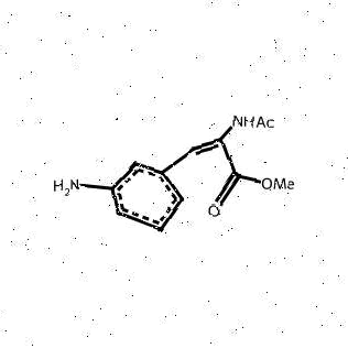 COC(=O)C(=Cc1cccc(N)c1)NC(C)=O